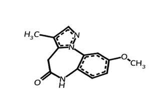 COc1ccc2c(c1)-n1ncc(C)c1CC(=O)N2